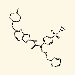 CN1CCC(Oc2ccc3nc(NC(=O)/C(=N/OCc4ncccn4)c4ccc(S(=O)(=O)C5CC5)cc4)sc3n2)CC1